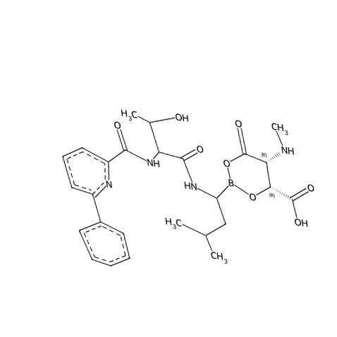 CN[C@H]1C(=O)OB(C(CC(C)C)NC(=O)C(NC(=O)c2cccc(-c3ccccc3)n2)C(C)O)O[C@H]1C(=O)O